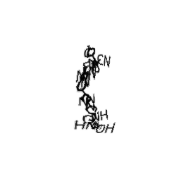 CCc1nc2ccc(-c3cnc(N4CCC(NC(=O)[C@H]5C[C@H](O)CN5)CC4)nc3)cn2c1N(C)c1nc(-c2ccc(C)cc2)c(C#N)s1